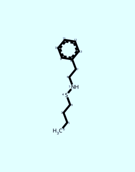 CCCCSNCCc1ccccc1